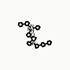 C1=CC2C(c3ccccc3N2c2cccc(-c3ccc(-c4ccccc4)cc3)c2)c2c1oc1c(-c3nc(-c4ccccc4)nc(-c4cccc(-c5ccccc5)c4)n3)cccc21